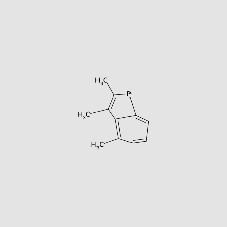 CC1=C(C)c2c(C)cccc2[P]1